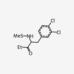 CCC(=O)C(Cc1ccc(Cl)c(Cl)c1)NSC